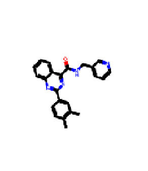 Cc1ccc(-c2nc(C(=O)NCc3cccnc3)c3ccccc3n2)cc1C